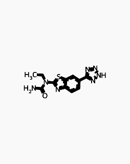 CCN(C(N)=O)c1nc2ccc(-c3nn[nH]n3)cc2s1